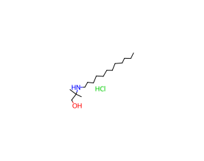 CCCCCCCCCCCCNC(C)(C)CO.Cl